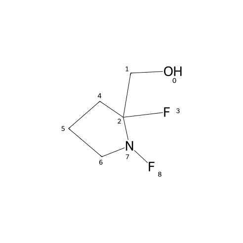 OCC1(F)CCCN1F